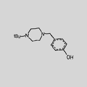 CC(C)(C)N1CCN(Cc2ccc(O)cc2)CC1